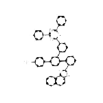 N#Cc1ccc(-c2ccc(-c3ccccc3-c3nc4ccc5ccccc5c4o3)c(-c3cccc(-c4nc(-c5ccccc5)nc(-c5ccccc5)n4)c3)c2)cc1